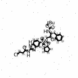 CC(C)(C)OC(=O)N[C@@H](Cc1ccccc1)[C@@H](O)CN(OC1CCCC1)S(=O)(=O)c1ccc2[nH]c(NC(=O)CCCl)nc2c1